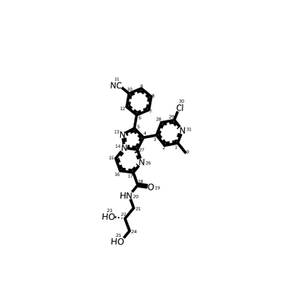 Cc1cc(-c2c(-c3cccc(C#N)c3)nn3ccc(C(=O)NC[C@@H](O)CO)nc23)cc(Cl)n1